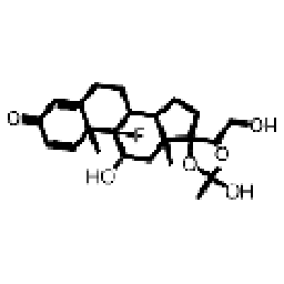 CC(C)(O)O[C@]1(C(=O)CO)CCC2C3CCC4=CC(=O)C=CC4(C)[C@@]3(F)[C@H](O)CC21C